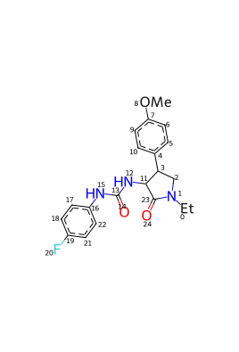 CCN1CC(c2ccc(OC)cc2)C(NC(=O)Nc2ccc(F)cc2)C1=O